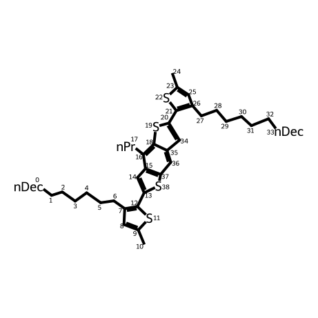 CCCCCCCCCCCCCCCCc1cc(C)sc1-c1cc2c(CCC)c3sc(-c4sc(C)cc4CCCCCCCCCCCCCCCC)cc3cc2s1